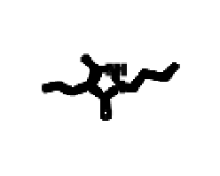 CCCCn1[nH]c(C)c(CCC)c1=O